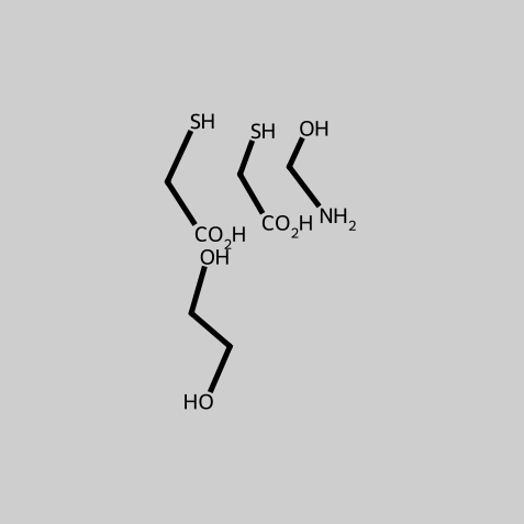 NCO.O=C(O)CS.O=C(O)CS.OCCO